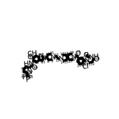 COc1cc2nn(C3CCN(CCN4CCC5(CC4)CCN(C(=O)c4ccc(Cl)c(N6CCC(=O)NC6=O)c4)CC5)CC3)cc2cc1NC(=O)c1cccc(C(F)(F)F)n1